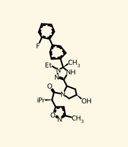 CCN1N=C(C2C[C@@H](O)CN2C(=O)[C@@H](c2cc(C)no2)C(C)C)N[C@@]1(C)c1ccc(-c2ccccc2F)cc1